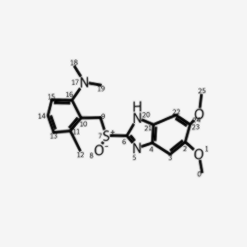 COc1cc2nc([S+]([O-])Cc3c(C)cccc3N(C)C)[nH]c2cc1OC